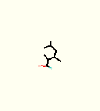 CC(C)CC(C)C(C)C(O)F